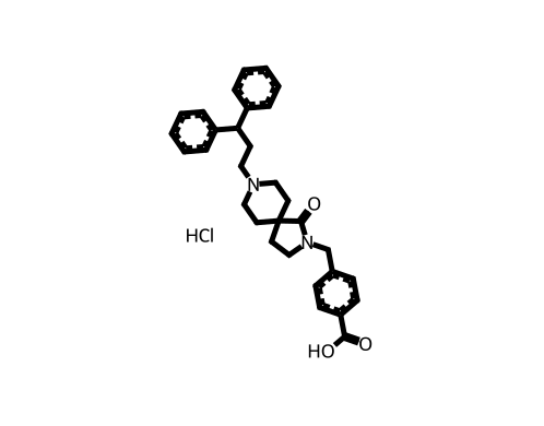 Cl.O=C(O)c1ccc(CN2CCC3(CCN(CCC(c4ccccc4)c4ccccc4)CC3)C2=O)cc1